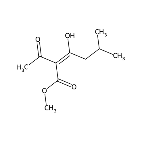 COC(=O)/C(C(C)=O)=C(/O)CC(C)C